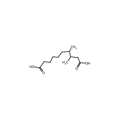 CC(CCCCCC(=O)O)C(C)CC(=O)O